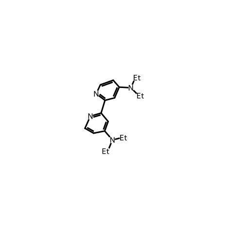 CCN(CC)c1ccnc(-c2cc(N(CC)CC)ccn2)c1